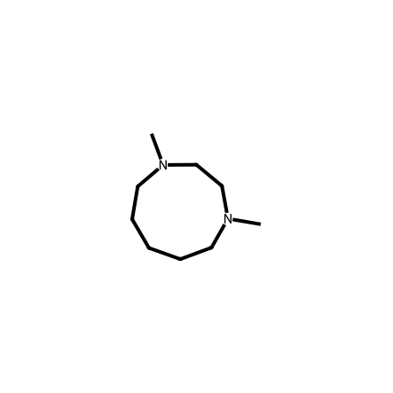 CN1CCCCCN(C)CC1